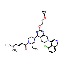 CN(C)C/C=C/C(=O)N1CCN(c2nc(OCCOC3CC3)nc3c2CCN(c2cncc4cccc(F)c24)C3)C=C1CC#N